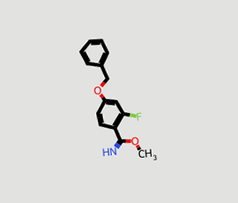 COC(=N)c1ccc(OCc2ccccc2)cc1F